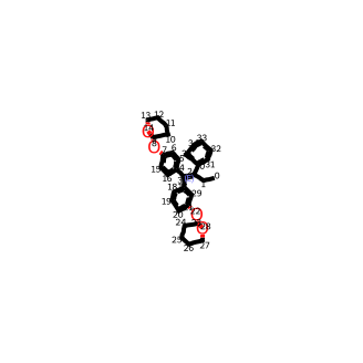 CC/C(=C(/c1ccc(OC2CCCCO2)cc1)c1cccc(OC2CCCCO2)c1)c1ccccc1